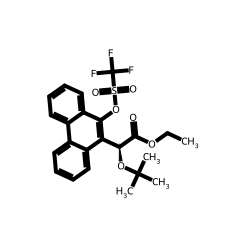 CCOC(=O)[C@@H](OC(C)(C)C)c1c(OS(=O)(=O)C(F)(F)F)c2ccccc2c2ccccc12